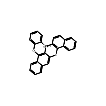 O=[P@]12c3ccccc3Oc3c1c(cc1ccccc31)Oc1c2ccc2ccccc12